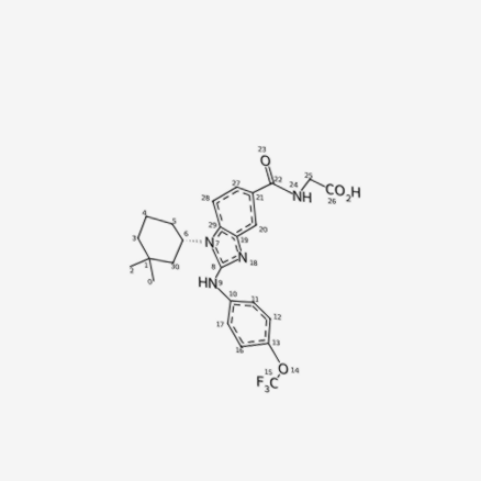 CC1(C)CCC[C@H](n2c(Nc3ccc(OC(F)(F)F)cc3)nc3cc(C(=O)NCC(=O)O)ccc32)C1